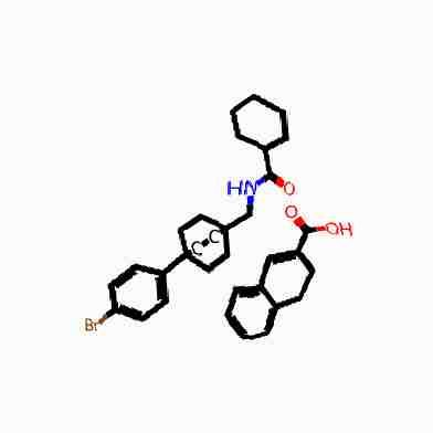 O=C(NCC12CCC(c3ccc(Br)cc3)(CC1)CC2)C1CCCCC1.O=C(O)C1=Cc2ccccc2CC1